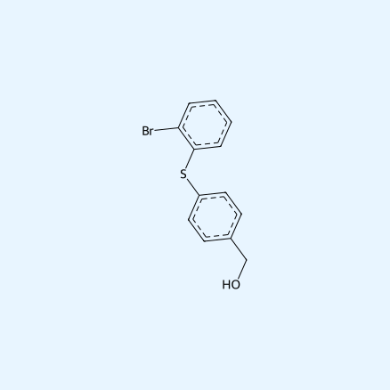 OCc1ccc(Sc2ccccc2Br)cc1